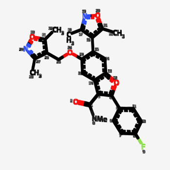 CNC(=O)c1c(-c2ccc(F)cc2)oc2cc(-c3c(C)noc3C)c(OCc3c(C)noc3C)cc12